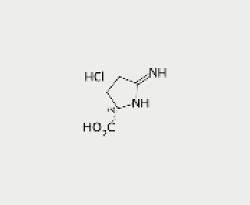 Cl.N=C1CC[C@@H](C(=O)O)N1